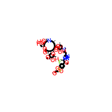 CC[C@H]1OC(=O)[C@H](C)[C@@H](C2C[C@@](C)(OC)[C@@H](O)[C@H](C)O2)[C@H](C)[C@@H](O[C@@H]2O[C@H](C)C[C@H](N(C)CCc3cn([C@H](CF)[C@H](OC)c4ccc(S(=O)(=O)CCOC)cc4)nn3)[C@H]2O)[C@](C)(O)C[C@@H](C)CN(C)[C@H](C)[C@@H](O)[C@]1(C)O